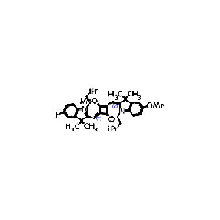 COC1=C(/C=C2\N(CCC(C)C)c3ccc(OC)cc3C2(C)C)C(=O)/C1=C/C1=[N+](CCC(C)C)c2ccc(F)cc2C1(C)C